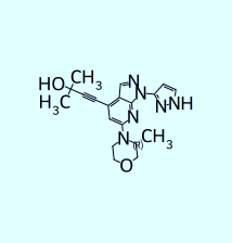 C[C@@H]1COCCN1c1cc(C#CC(C)(C)O)c2cnn(-c3cc[nH]n3)c2n1